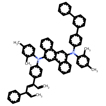 C=C/C(=C\C(=C/C)c1ccccc1)c1ccc(N(c2ccc(C)cc2C)c2cc3c4ccccc4c(N(c4ccc(-c5cccc(-c6ccccc6)c5)cc4)c4ccc(C)cc4C)cc3c3ccccc23)cc1